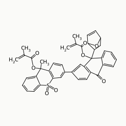 C=C(C)C(=O)OC1(C)c2ccccc2S(=O)(=O)c2cc(-c3ccc4c(c3)C(OC(=O)C(=C)C)(C3CC5C=CC3O5)c3ccccc3C4=O)ccc21